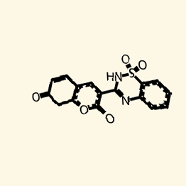 O=C1C=Cc2cc(C3=Nc4ccccc4S(=O)(=O)N3)c(=O)oc2C1